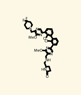 COc1nc(-c2cccc(-c3cccc(-c4cnc(CN5CCC(F)(F)CC5)c(OC)n4)c3Cl)c2Cl)cnc1CNCC1CCC(=O)N1